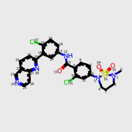 CN1CCCN(c2ccc(C(=O)Nc3ccc(Cl)c(-c4ccc5cnccc5n4)c3)c(Cl)c2)S1(=O)=O